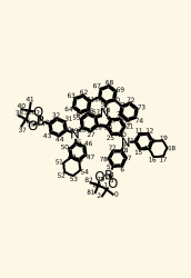 CC1(C)OB(c2ccc(N(c3ccc4c(c3)CCCC4)c3ccc4c(c3)c3cc(N(c5ccc(B6OC(C)(C)C(C)(C)O6)cc5)c5ccc6c(c5)CCCC6)ccc3n4-c3c(-c4ccccc4)cccc3-c3ccccc3)cc2)OC1(C)C